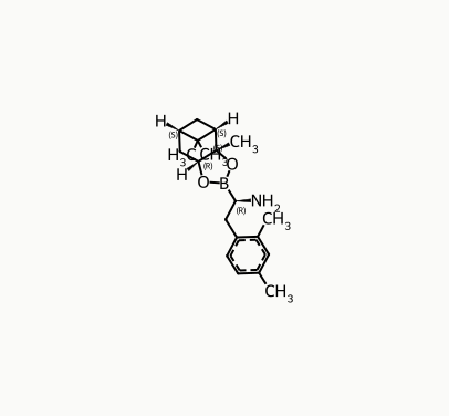 Cc1ccc(C[C@H](N)B2O[C@@H]3C[C@@H]4C[C@@H](C4(C)C)[C@]3(C)O2)c(C)c1